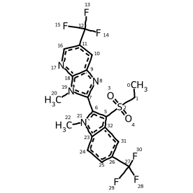 CCS(=O)(=O)c1c(-c2nc3cc(C(F)(F)F)cnc3n2C)n(C)c2ccc(C(F)(F)F)cc12